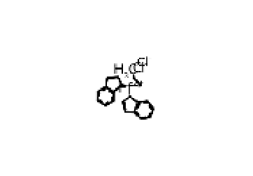 C[CH]1[CH2][Hf+2]1([CH]1C=Cc2ccccc21)[CH]1C=Cc2ccccc21.[Cl-].[Cl-]